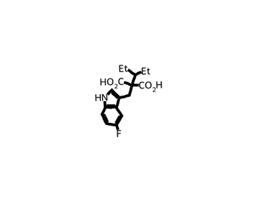 CCC(CC)C(Cc1c[nH]c2ccc(F)cc12)(C(=O)O)C(=O)O